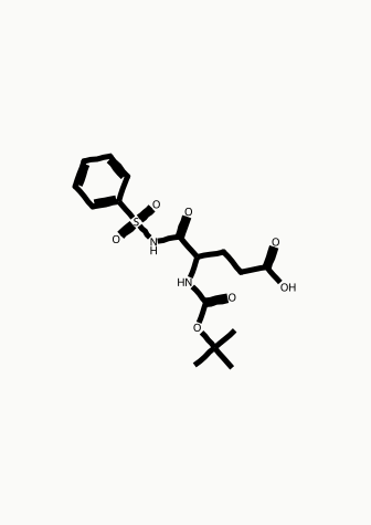 CC(C)(C)OC(=O)NC(CCC(=O)O)C(=O)NS(=O)(=O)c1ccccc1